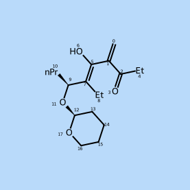 C=C(C(=O)CC)/C(O)=C(\CC)[C@H](CCC)O[C@H]1CCCCO1